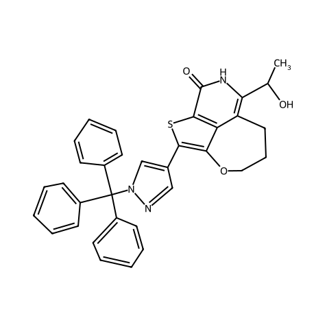 CC(O)c1[nH]c(=O)c2sc(-c3cnn(C(c4ccccc4)(c4ccccc4)c4ccccc4)c3)c3c2c1CCCO3